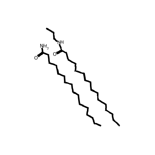 CCCCCCCCCCCCCCCC(=O)NCCC.CCCCCCCCCCCCCCCC(N)=O